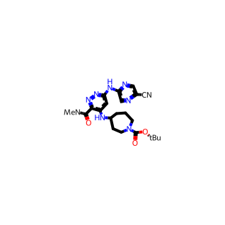 CNC(=O)c1nnc(Nc2cnc(C#N)cn2)cc1NC1CCCN(C(=O)OC(C)(C)C)CC1